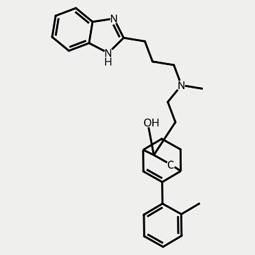 Cc1ccccc1C1=CC2CCC1CC2(O)CCN(C)CCCc1nc2ccccc2[nH]1